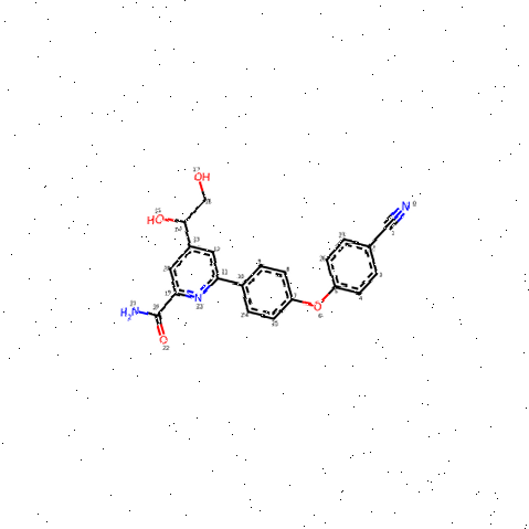 N#Cc1ccc(Oc2ccc(-c3cc(C(O)CO)cc(C(N)=O)n3)cc2)cc1